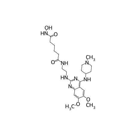 COc1cc2nc(NCCNC(=O)CCCCC(=O)NO)nc(NC3CCN(C)CC3)c2cc1OC